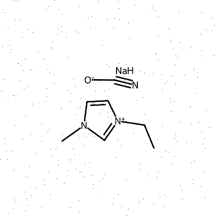 CC[n+]1ccn(C)c1.N#C[O-].[NaH]